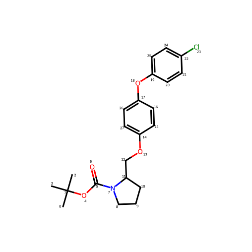 CC(C)(C)OC(=O)N1CCCC1COc1ccc(Oc2ccc(Cl)cc2)cc1